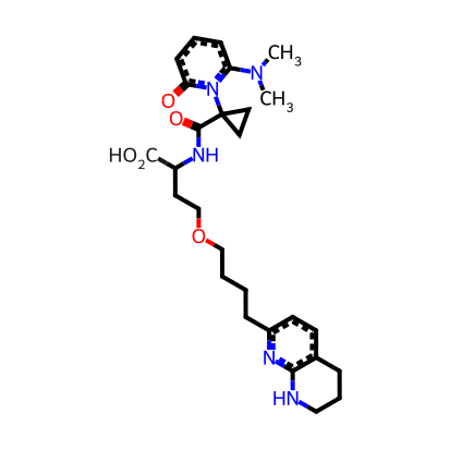 CN(C)c1cccc(=O)n1C1(C(=O)NC(CCOCCCCc2ccc3c(n2)NCCC3)C(=O)O)CC1